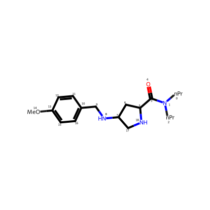 CCCN(CCC)C(=O)C1CC(NCc2ccc(OC)cc2)CN1